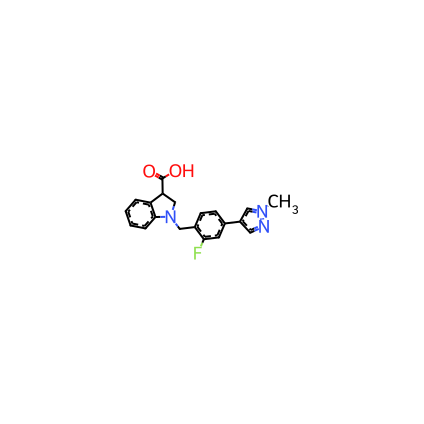 Cn1cc(-c2ccc(CN3CC(C(=O)O)c4ccccc43)c(F)c2)cn1